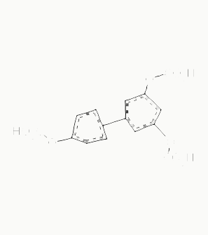 O=C(O)Oc1ccc(-c2cc(OC(=O)O)cc(OC(=O)O)c2)cc1